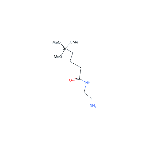 CO[Si](CCCC(=O)NCCN)(OC)OC